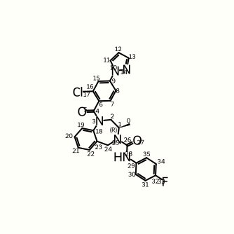 C[C@@H]1CN(C(=O)c2ccc(-n3cccn3)cc2Cl)c2ccccc2CN1C(=O)Nc1ccc(F)cc1